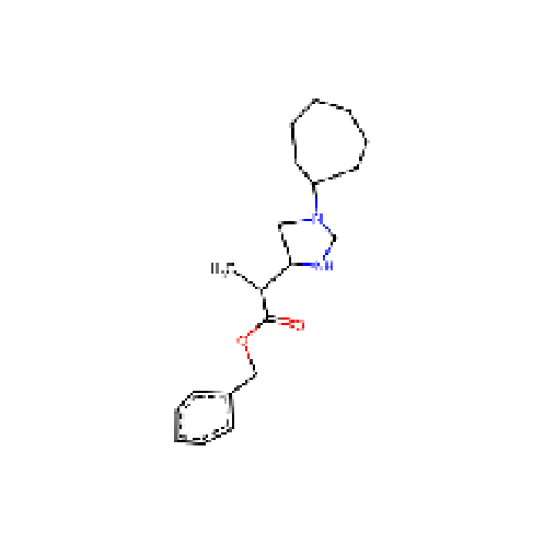 CC(C(=O)OCc1ccccc1)C1CN(C2CCCCCC2)CN1